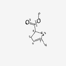 COC(=O)C1CC=C(C)S1